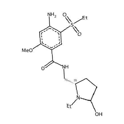 CCN1C(O)CC[C@H]1CNC(=O)c1cc(S(=O)(=O)CC)c(N)cc1OC